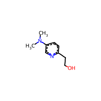 CN(C)c1ccc(CCO)nc1